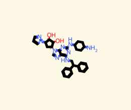 NC1CCC(Nc2nc(NCC(c3ccccc3)c3ccccc3)c3ncn([C@@H]4CC(n5cccn5)[C@@H](O)[C@H]4O)c3n2)CC1